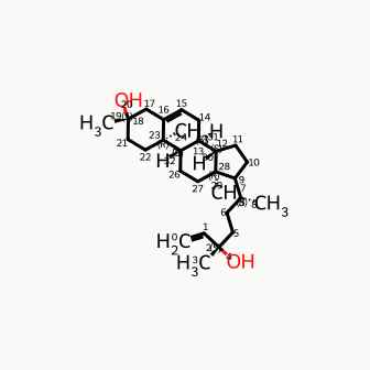 C=C[C@@](C)(O)CC[C@@H](C)C1CC[C@H]2[C@@H]3CC=C4C[C@@](C)(O)CC[C@]4(C)[C@H]3CC[C@]12C